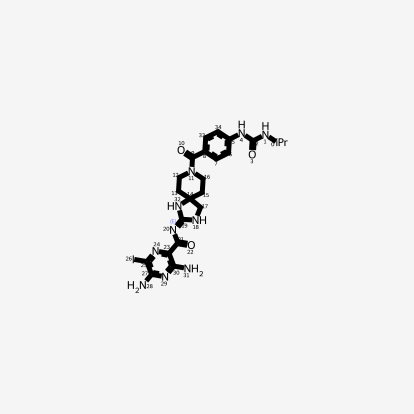 CC(C)NC(=O)Nc1ccc(C(=O)N2CCC3(CC2)CN/C(=N\C(=O)c2nc(I)c(N)nc2N)N3)cc1